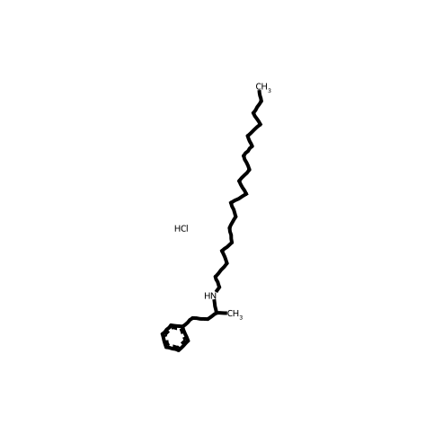 CCCCCCCCCCCCCCCCCCNC(C)CCc1ccccc1.Cl